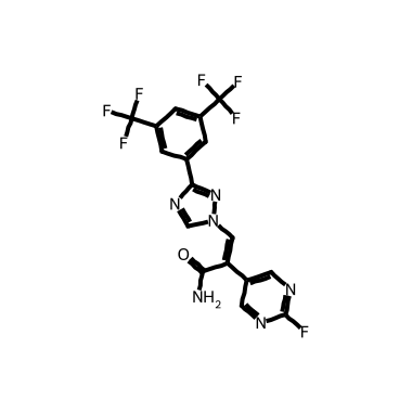 NC(=O)C(=Cn1cnc(-c2cc(C(F)(F)F)cc(C(F)(F)F)c2)n1)c1cnc(F)nc1